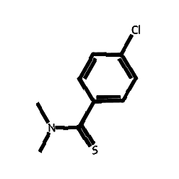 CN(C)C(=S)c1ccc(Cl)cc1